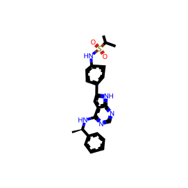 CC(C)S(=O)(=O)Nc1ccc(-c2cc3c(N[C@H](C)c4ccccc4)ncnc3[nH]2)cc1